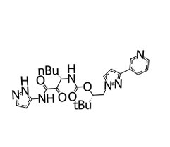 CCCC[C@H](NC(=O)O[C@H](Cn1ccc(-c2cccnc2)n1)C(C)(C)C)C(=O)C(=O)Nc1ccn[nH]1